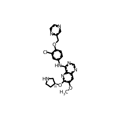 COc1cc2ncnc(Nc3ccc(OCc4cnccn4)c(Cl)c3)c2nc1O[C@H]1CCNC1